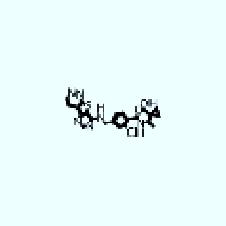 CC(NC(=O)c1ccc(CNc2ncnc3c2sc2nnccc23)cc1Cl)C1(CO)CC1